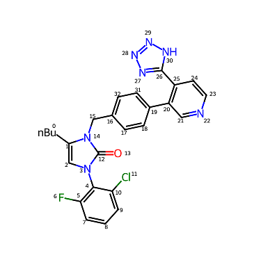 CCCCc1cn(-c2c(F)cccc2Cl)c(=O)n1Cc1ccc(-c2cnccc2-c2nnn[nH]2)cc1